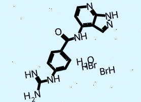 Br.Br.N=C(N)Nc1ccc(C(=O)Nc2ccnc3[nH]ncc23)cc1.O